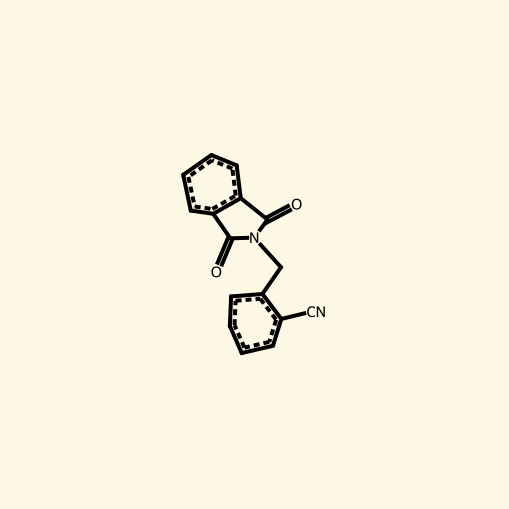 N#Cc1ccccc1CN1C(=O)c2ccccc2C1=O